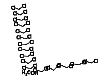 CO.ClCCl.ClCCl.ClCCl.ClCCl.ClCCl.ClCCl.ClCCl.ClCCl.ClCCl.ClCCl.ClCCl.ClCCl.ClCCl.ClCCl.ClCCl.ClCCl